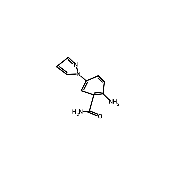 NC(=O)c1cc(-n2cccn2)ccc1N